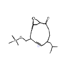 CC(C)C1/C=C\C(CO[Si](C)(C)C)CC2OC2C(=O)CC1